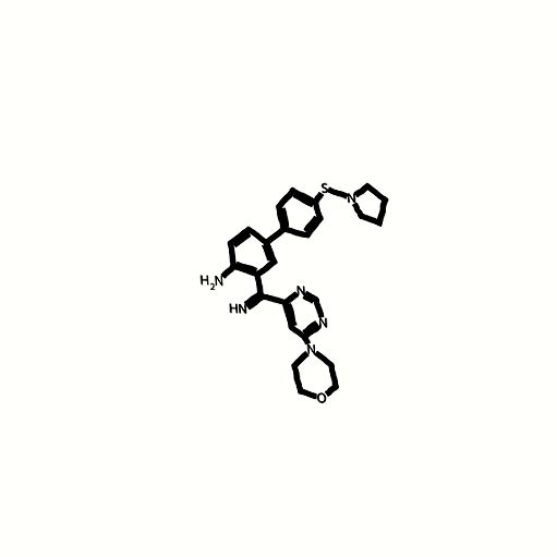 N=C(c1cc(N2CCOCC2)ncn1)c1cc(-c2ccc(SN3CCCC3)cc2)ccc1N